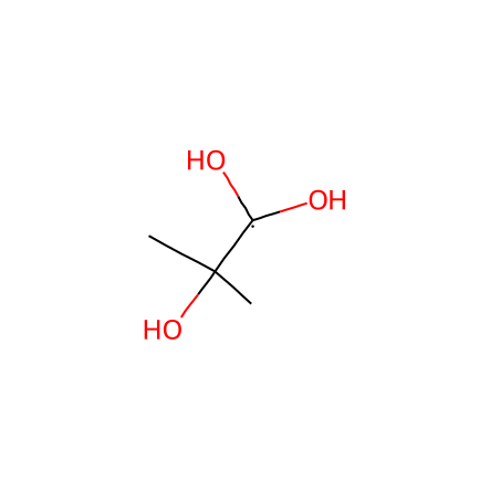 CC(C)(O)[C](O)O